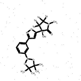 [2H]C1([2H])N(C)C(=O)[C@](O)(c2cc(-c3cccc(B4OC(C)(C)C(C)(C)O4)c3)no2)C1([2H])[2H]